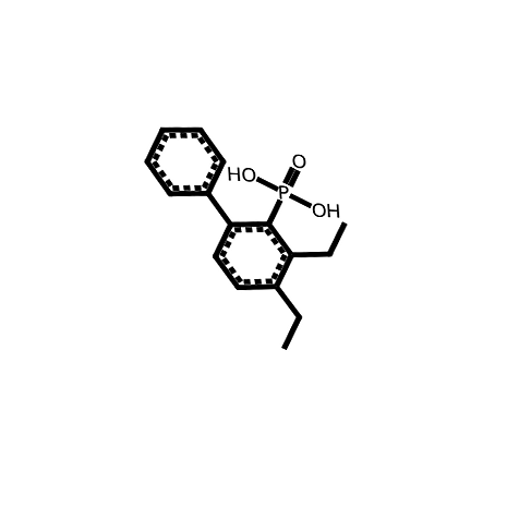 CCc1ccc(-c2ccccc2)c(P(=O)(O)O)c1CC